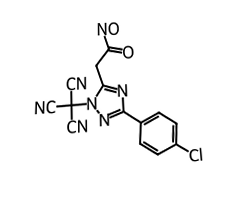 N#CC(C#N)(C#N)n1nc(-c2ccc(Cl)cc2)nc1CC(=O)N=O